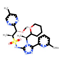 COc1cccc(-c2nnc(NS(=O)(=O)[C@@H](C)[C@@H](OC(C)C)c3ncc(C)cn3)n2[C@@H](C)C2CCCCO2)n1